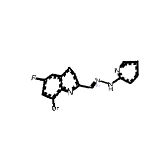 Fc1cc(Br)c2nc(/C=N/Nc3ccccn3)ccc2c1